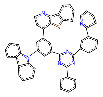 c1ccc(-c2nc(-c3cccc(-c4ccccn4)c3)nc(-c3cc(-c4ccnc5c4sc4ccccc45)cc(-n4c5ccccc5c5ccccc54)c3)n2)cc1